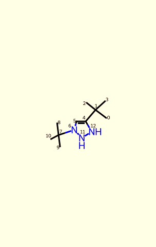 CC(C)(C)C1=CN(C(C)(C)C)NN1